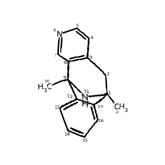 CC12Cc3ccncc3C(C)(N1)c1ccccc12